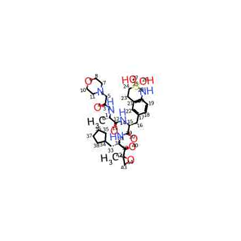 C[C@H](NC(=O)CN1CCOCC1)C(=O)N[C@@H](Cc1ccc2c(c1)CCS(O)(O)N2)C(=O)N[C@@H](CC1CCCC1)C(=O)[C@]1(C)CO1